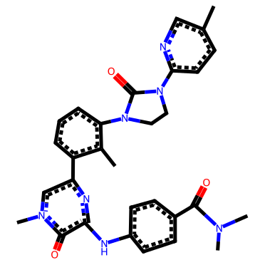 Cc1ccc(N2CCN(c3cccc(-c4cn(C)c(=O)c(Nc5ccc(C(=O)N(C)C)cc5)n4)c3C)C2=O)nc1